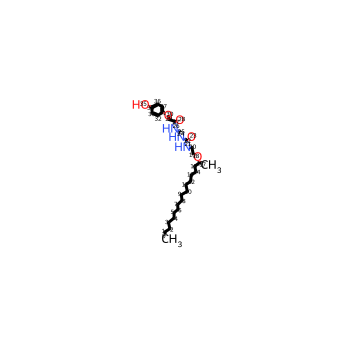 CCCCCCCCCCCCCCCCC(C)OCCNC(=O)NCNC(=O)COc1ccc(O)cc1